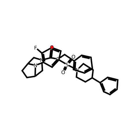 O=C(OCc1ccccc1)N1CC2CCC(C1)N2c1cc(S(=O)(=O)N2CCC(c3ccccc3)CC2)ccc1F